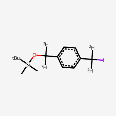 [2H]C([2H])(I)c1ccc(C([2H])([2H])O[Si](C)(C)C(C)(C)C)cc1